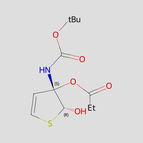 CCC(=O)O[C@@]1(NC(=O)OC(C)(C)C)C=CS[C@H]1O